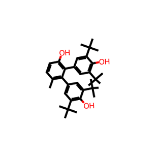 Cc1ccc(O)c(-c2cc(C(C)(C)C)c(O)c(C(C)(C)C)c2)c1-c1cc(C(C)(C)C)c(O)c(C(C)(C)C)c1